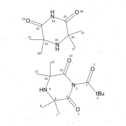 CC(C)(C)C(=O)N1C(=O)C(C)(C)NC(C)(C)C1=O.CC1(C)NC(C)(C)C(=O)NC1=O